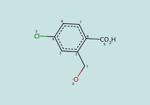 [O]Cc1cc(Cl)ccc1C(=O)O